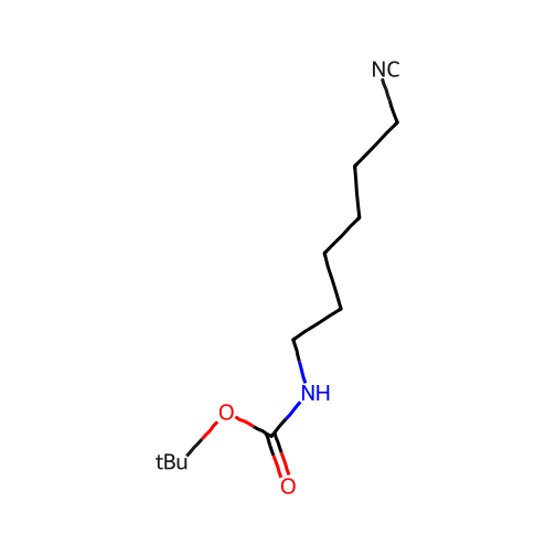 [C-]#[N+]CCCCCCNC(=O)OC(C)(C)C